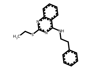 CCSc1nc(NCCc2ccccc2)c2ccccc2n1